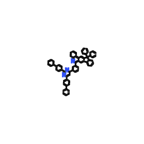 c1ccc(-c2ccc(-c3cc(-c4cccc(-c5nc6ccccc6c6cc7c(cc56)-c5ccccc5C7(c5ccccc5)c5ccccc5)c4)nc(-c4ccc(-c5ccccc5)cc4)n3)cc2)cc1